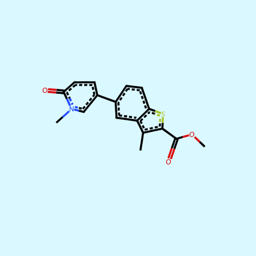 COC(=O)c1sc2ccc(-c3ccc(=O)n(C)c3)cc2c1C